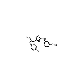 COc1cccc(Nc2nc(-c3c(C)nc4ccc(F)cn34)cs2)c1